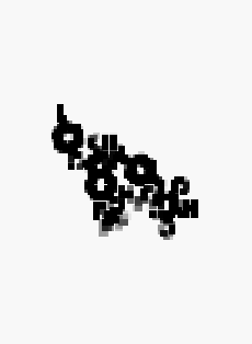 Cc1c(Oc2ccc(I)cc2)c2ccc(OC(F)(F)F)cc2n1Cc1ccc(C[C@@]2(C)OC(=O)NC2=O)cc1